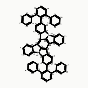 c1ccc(-c2cccc(-c3ccccc3)c2-c2ccc3c4c5c6ccccc6n6c7cc(-c8c(-c9ccccc9)cccc8-c8ccccc8)ccc7c(c7c8ccccc8n(c3c2)c74)c56)cc1